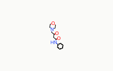 O=C(CC(=O)Nc1ccccc1)CN1CCOCC1